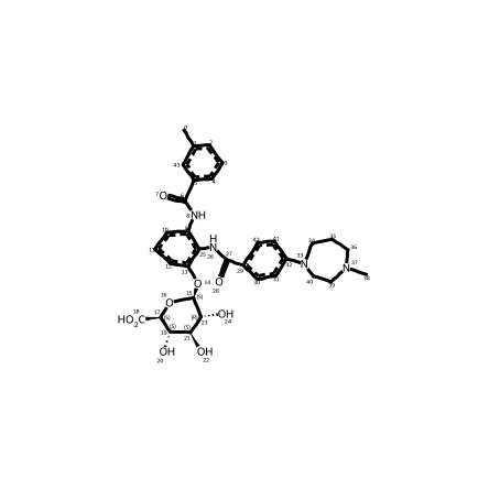 Cc1cccc(C(=O)Nc2cccc(O[C@@H]3O[C@H](C(=O)O)[C@@H](O)[C@H](O)[C@H]3O)c2NC(=O)c2ccc(N3CCCN(C)CC3)cc2)c1